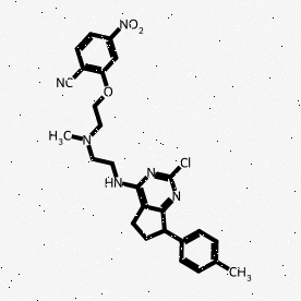 Cc1ccc(C2CCc3c(NCCN(C)CCOc4cc([N+](=O)[O-])ccc4C#N)nc(Cl)nc32)cc1